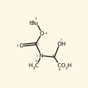 CN(C(=O)OC(C)(C)C)C(O)C(=O)O